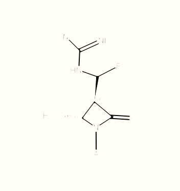 CCC(NC(=N)N)[C@H]1C(=O)N(C(C)=O)[C@@H]1C(=O)O